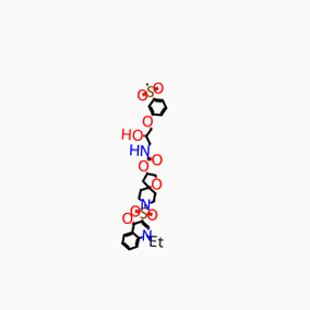 CCn1cc(S(=O)(=O)N2CCC3(CC2)C[C@@H](OC(=O)NCC(O)COc2cccc(S(C)(=O)=O)c2)CO3)c(=O)c2ccccc21